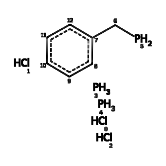 Cl.Cl.Cl.P.P.PCc1ccccc1